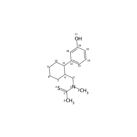 CC(=S)N(C)CC1CCCCC1c1cccc(O)c1